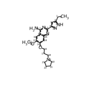 CCc1cc(-c2nc(N)c3cc(OC)c(OCCCN4CCCC4)cc3n2)n[nH]1